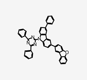 c1ccc(-c2ccc3c(c2)c2cc(-c4ccc5oc6ccccc6c5c4)ccc2n3-c2nc(-c3ccccc3)nc(-c3ccccc3)n2)cc1